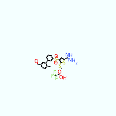 CSc1sc(C(=N)N)cc1S(=O)(=O)c1cccc(-c2cc(C=O)ccc2C)c1.O=C(O)C(F)(F)F